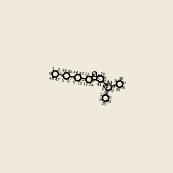 c1ccc(-c2ccc(-c3ccc(-c4ccc5c(c4)oc4ccc(-c6nc(-c7ccccc7)cc(-c7ccccc7)n6)cc45)cc3)cc2)cc1